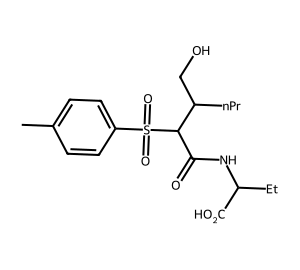 CCCC(CO)C(C(=O)NC(CC)C(=O)O)S(=O)(=O)c1ccc(C)cc1